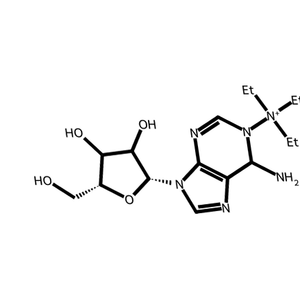 CC[N+](CC)(CC)N1C=Nc2c(ncn2[C@@H]2O[C@H](CO)C(O)C2O)C1N